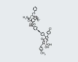 CN(C)CCC(CSc1ccccc1)Nc1ccc(S(=O)(=O)Nc2ccc(C#Cc3ccc(-c4c(-c5ccc(Cl)cc5)cn(CCC(O)CO)c4C(=O)NCCCN4CCN(C)CC4)cc3)cc2)cc1[N+](=O)[O-]